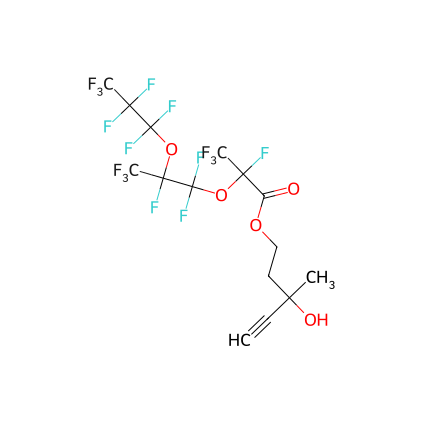 C#CC(C)(O)CCOC(=O)C(F)(OC(F)(F)C(F)(OC(F)(F)C(F)(F)C(F)(F)F)C(F)(F)F)C(F)(F)F